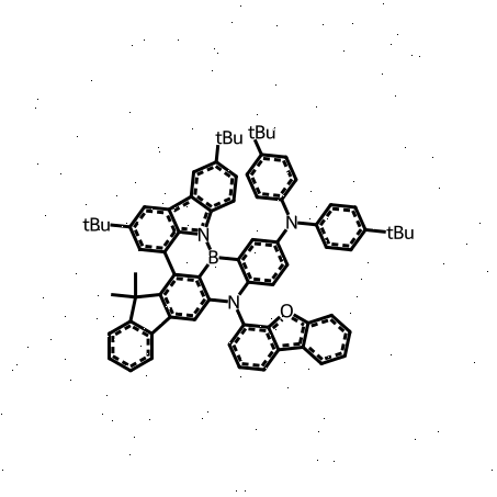 CC(C)(C)c1ccc(N(c2ccc(C(C)(C)C)cc2)c2ccc3c(c2)B2c4c(cc5c(c4-c4cc(C(C)(C)C)cc6c7cc(C(C)(C)C)ccc7n2c46)C(C)(C)c2ccccc2-5)N3c2cccc3c2oc2ccccc23)cc1